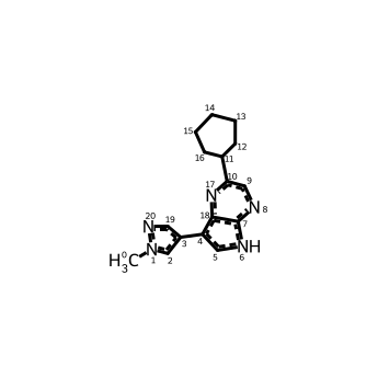 Cn1cc(-c2c[nH]c3ncc(C4CCCCC4)nc23)cn1